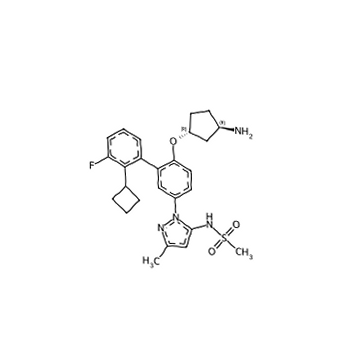 Cc1cc(NS(C)(=O)=O)n(-c2ccc(O[C@@H]3CC[C@@H](N)C3)c(-c3cccc(F)c3C3CCC3)c2)n1